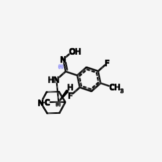 Cc1cc(F)c(/C(=N\O)N[C@H]2CN3CCC2CC3)cc1F